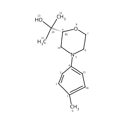 Cc1ccc(N2CCO[C@@H](C(C)(C)O)C2)cc1